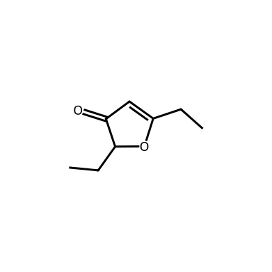 CCC1=CC(=O)C(CC)O1